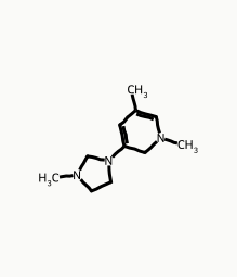 CC1=CN(C)CC(N2CCN(C)C2)=C1